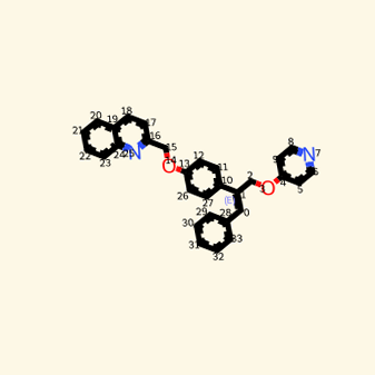 C(=C(\COc1ccncc1)c1ccc(OCc2ccc3ccccc3n2)cc1)/c1ccccc1